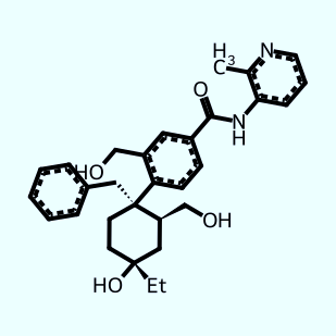 CC[C@@]1(O)CC[C@@](Cc2ccccc2)(c2ccc(C(=O)Nc3cccnc3C)cc2CO)[C@@H](CO)C1